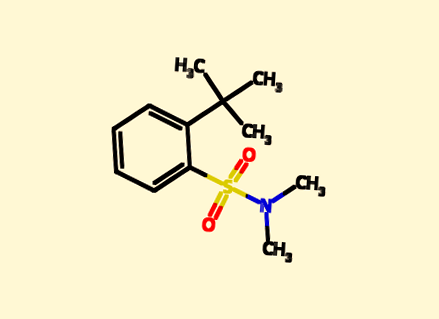 CN(C)S(=O)(=O)c1ccccc1C(C)(C)C